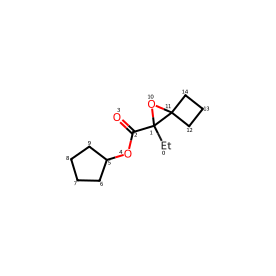 CCC1(C(=O)OC2CCCC2)OC12CCC2